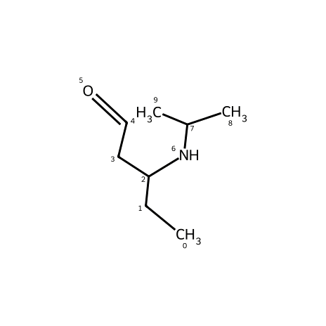 CCC(CC=O)NC(C)C